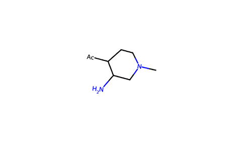 CC(=O)C1CCN(C)CC1N